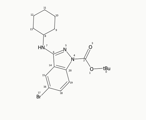 CC(C)(C)OC(=O)n1nc(NC2CCCCC2)c2cc(Br)ccc21